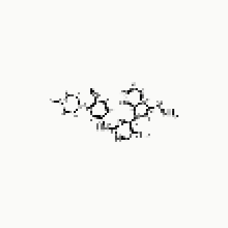 CN1CCN(c2cc(Nc3ncc(F)c(-n4cc(CN)c5ccccc54)n3)ccc2F)CC1